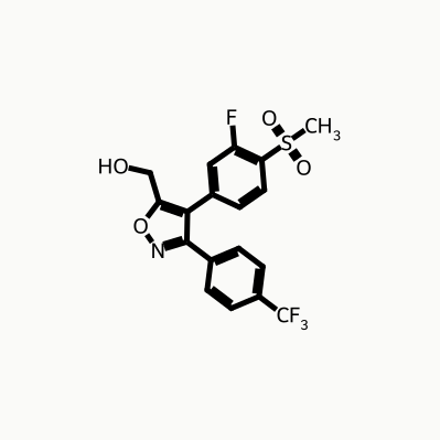 CS(=O)(=O)c1ccc(-c2c(-c3ccc(C(F)(F)F)cc3)noc2CO)cc1F